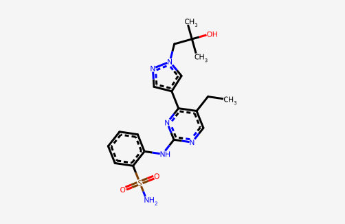 CCc1cnc(Nc2ccccc2S(N)(=O)=O)nc1-c1cnn(CC(C)(C)O)c1